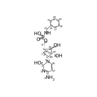 NC1=NC(O)N([C@@H]2S[C@H](COP(=O)(O)NCc3ccccc3)[C@@H](O)[C@@H]2O)C=C1